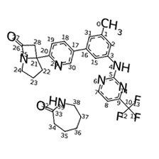 Cc1cc(Nc2nccc(C(F)(F)F)n2)cc(-c2ccc(C34CCCN3C(=O)C4)nc2)c1.O=C1CCCCCN1